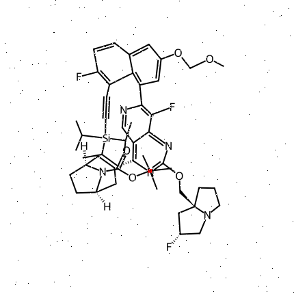 COCOc1cc(-c2ncc3c([C@@H]4C[C@H]5CC[C@@H](C4)N5C(=O)OC(C)(C)C)nc(OC[C@@]45CCCN4C[C@H](F)C5)nc3c2F)c2c(C#C[Si](C(C)C)(C(C)C)C(C)C)c(F)ccc2c1